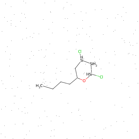 CCCCC1C[SiH](Cl)[SiH2][SiH](Cl)O1